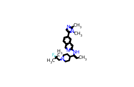 C/C=C(\Nc1cc2cc(-c3cnc(C)n3C)ccc2cn1)C1CCN(CC(C)(C)F)CC1